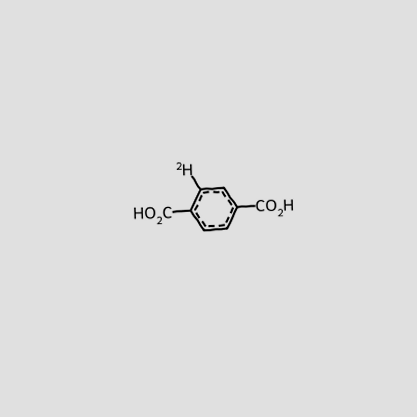 [2H]c1cc(C(=O)O)ccc1C(=O)O